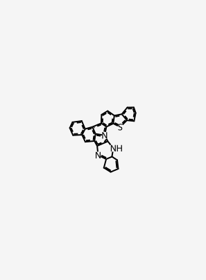 C1=CC2=Nc3c(n4c5c(ccc6c7ccccc7sc65)c5c6ccccc6cc3c54)NC2C=C1